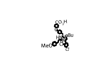 CCCCn1cc(-c2ccc(Cl)cc2Cl)nc1[C@H](Cc1ccc(Oc2ccc(C(=O)O)cc2)cc1)NC(=O)CCc1ccc(OC)cc1